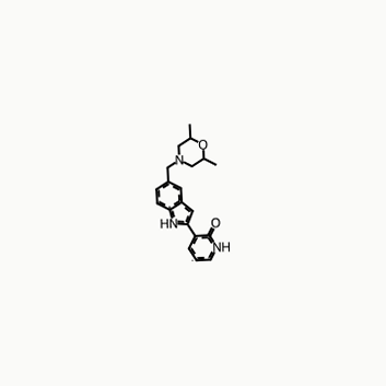 CC1CN(Cc2ccc3[nH]c(-c4c[c]c[nH]c4=O)cc3c2)CC(C)O1